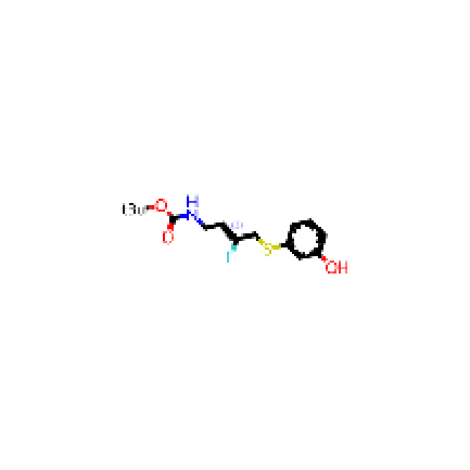 CC(C)(C)OC(=O)NC/C=C(\F)CSc1cccc(O)c1